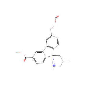 [C-]#[N+]C1(CC(C)C)c2ccc(COC=O)cc2-c2cc(C(=O)OC)ccc21